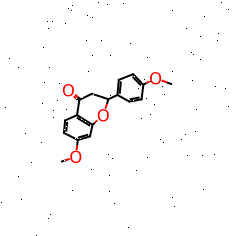 COc1ccc(C2CC(=O)c3ccc(OC)cc3O2)cc1